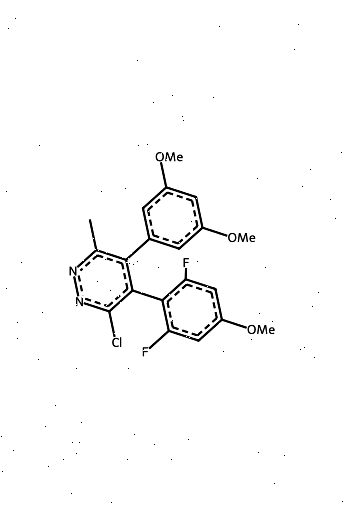 COc1cc(OC)cc(-c2c(C)nnc(Cl)c2-c2c(F)cc(OC)cc2F)c1